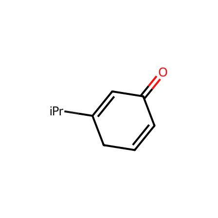 CC(C)C1=CC(=O)C=CC1